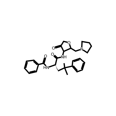 CC(C)(C[C@H](NC(=O)c1ccccc1)C(=O)NC1C(=O)COC1CN1CCCC1)c1ccccc1